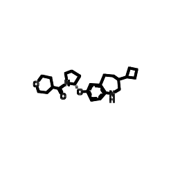 O=C(C1CCOCC1)N1CCC[C@@H]1Oc1ccc2c(c1)CCC(C1CCC1)CN2